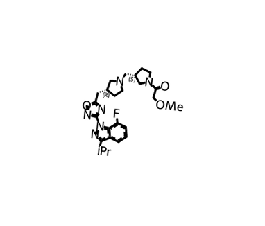 COCC(=O)N1CC[C@@H](CN2CC[C@H](Cc3nc(-n4nc(C(C)C)c5cccc(F)c54)no3)C2)C1